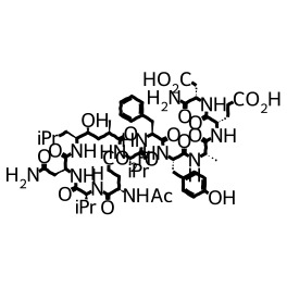 CC(=O)N[C@@H](CCC(=O)O)C(=O)N[C@H](C(=O)N[C@@H](CC(N)=O)C(=O)N[C@@H](CC(C)C)[C@@H](O)C[C@@H](C)C(=O)N[C@H](C(=O)N[C@@H](Cc1ccccc1)C(=O)N[C@@H](Cc1ccc(O)cc1)C(=O)N[C@@H](C)C(=O)N[C@@H](CCC(=O)O)C(=O)N[C@@H](CC(=O)O)C(N)=O)C(C)C)C(C)C